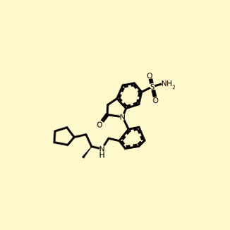 C[C@@H](CC1CCCC1)NCc1ccccc1N1C(=O)Cc2ccc(S(N)(=O)=O)cc21